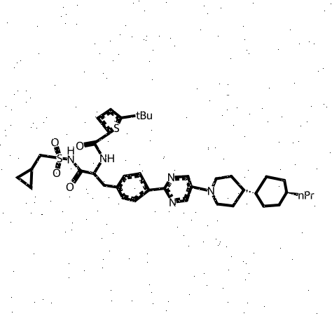 CCC[C@H]1CC[C@H](C2CCN(c3cnc(-c4ccc(CC(NC(=O)c5ccc(C(C)(C)C)s5)C(=O)NS(=O)(=O)CC5CC5)cc4)nc3)CC2)CC1